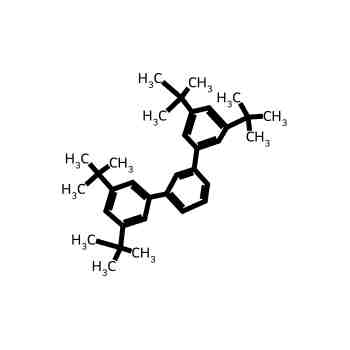 CC(C)(C)c1cc(-c2cccc(-c3cc(C(C)(C)C)cc(C(C)(C)C)c3)c2)cc(C(C)(C)C)c1